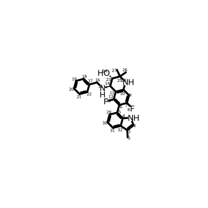 Cc1c[nH]c2c(-c3c(F)cc4c(c3F)[C@@H](NCc3ccccc3)[C@H](O)C(C)(C)N4)cccc12